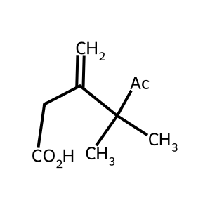 C=C(CC(=O)O)C(C)(C)C(C)=O